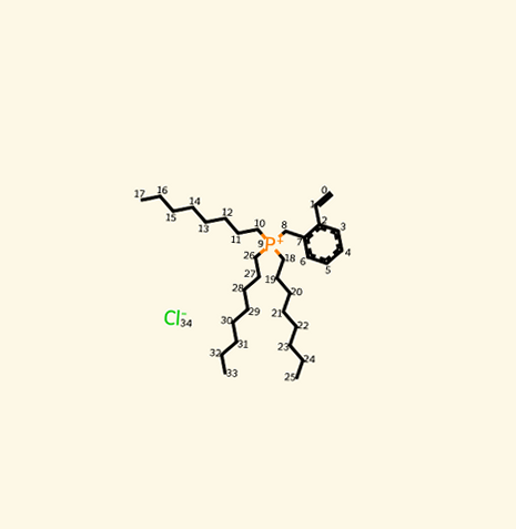 C=Cc1ccccc1C[P+](CCCCCCCC)(CCCCCCCC)CCCCCCCC.[Cl-]